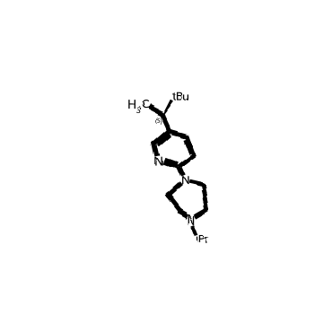 CC(C)N1CCN(c2ccc([C@@H](C)C(C)(C)C)cn2)CC1